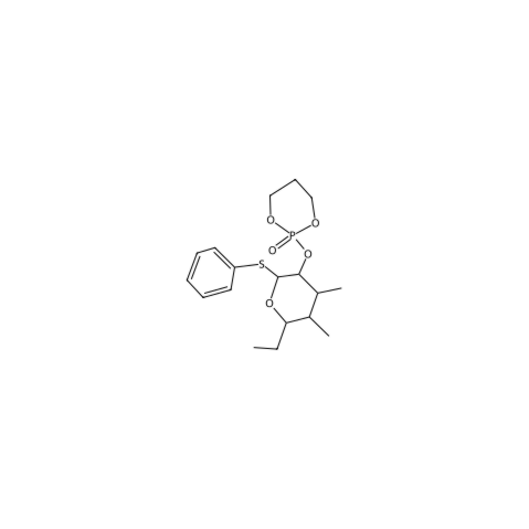 CCC1OC(Sc2ccccc2)C(OP2(=O)OCCCO2)C(C)C1C